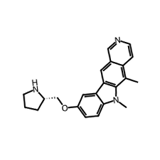 Cc1c2ccncc2cc2c3cc(OC[C@@H]4CCCN4)ccc3n(C)c12